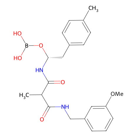 COc1cccc(CNC(=O)C(C)C(=O)N[C@@H](Cc2ccc(C)cc2)OB(O)O)c1